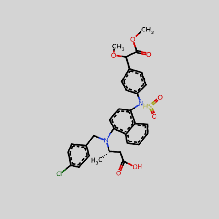 COC(=O)C(OC)c1ccc(N(c2ccc(N(Cc3ccc(Cl)cc3)[C@@H](C)CC(=O)O)c3ccccc23)[SH](=O)=O)cc1